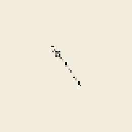 CCCCCCCCCCCCCCC[C](CC)COCc1ccccc1